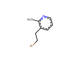 CC(=O)Oc1ncccc1CCBr